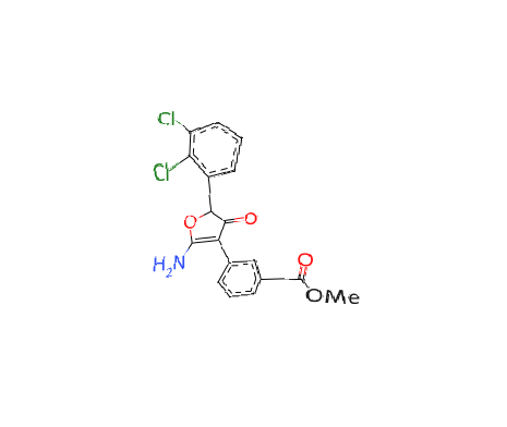 COC(=O)c1cccc(C2=C(N)OC(c3cccc(Cl)c3Cl)C2=O)c1